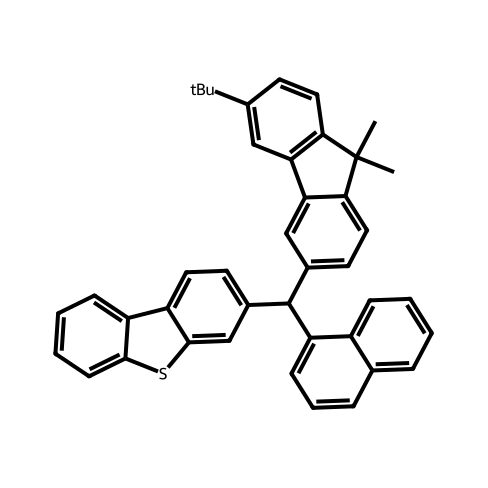 CC(C)(C)c1ccc2c(c1)-c1cc(C(c3ccc4c(c3)sc3ccccc34)c3cccc4ccccc34)ccc1C2(C)C